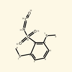 CSc1cccc(SC)c1S(=O)(=O)N=C=O